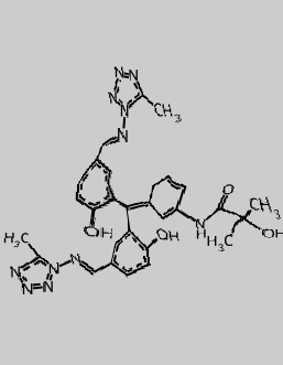 Cc1nnnn1N=Cc1ccc(O)c(C(=C2C=C(NC(=O)C(C)(C)O)C=CC2)c2cc(C=Nn3nnnc3C)ccc2O)c1